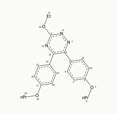 CCCOc1ccc(-c2nnc(OCC)nc2-c2ccc(OCCC)cc2)cc1